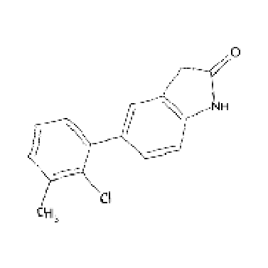 Cc1cccc(-c2ccc3c(c2)CC(=O)N3)c1Cl